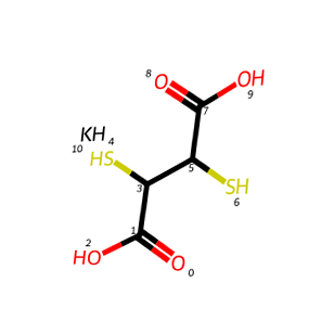 O=C(O)C(S)C(S)C(=O)O.[KH]